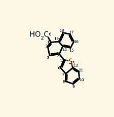 O=C(O)c1ccc(-c2cc3ccccc3s2)c2ccccc12